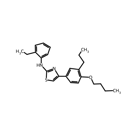 CCCCOc1ccc(-c2csc(Nc3ccccc3CC)n2)cc1CCC